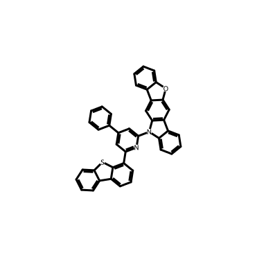 c1ccc(-c2cc(-c3cccc4c3sc3ccccc34)nc(-n3c4ccccc4c4cc5oc6ccccc6c5cc43)c2)cc1